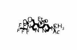 CCS(=O)(=O)c1cc(N(C)C(C)=O)cnc1-c1cc2c(cn1)N(C(F)C(F)(F)C(F)F)C(=O)OC2